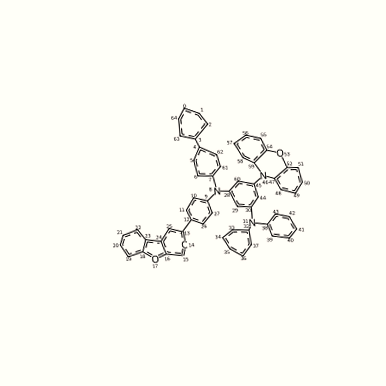 c1ccc(-c2ccc(N(c3ccc(-c4ccc5oc6ccccc6c5c4)cc3)c3cc(N(c4ccccc4)c4ccccc4)cc(N4c5ccccc5Oc5ccccc54)c3)cc2)cc1